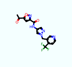 CC(=O)c1cc(C(=O)Nc2cnn(Cc3cnccc3C(F)(F)F)c2)no1